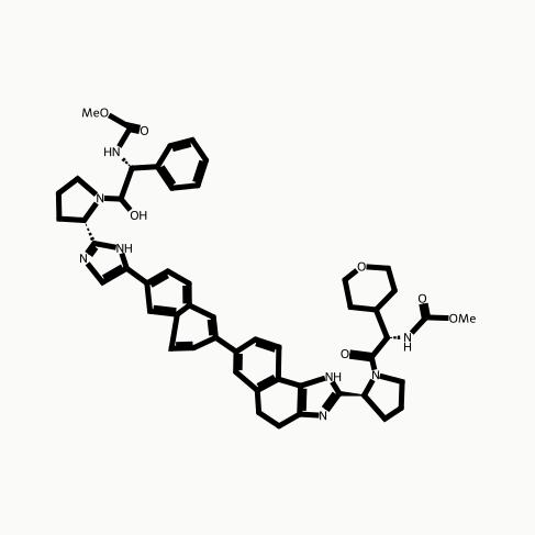 COC(=O)N[C@H](C(=O)N1CCC[C@H]1c1nc2c([nH]1)-c1ccc(-c3ccc4cc(-c5cnc([C@@H]6CCCN6C(O)[C@H](NC(=O)OC)c6ccccc6)[nH]5)ccc4c3)cc1CC2)C1CCOCC1